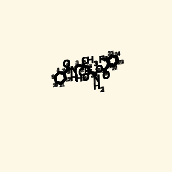 CC(C)(CNC(=O)C1CCCCC1)CC(O)C(N)OC(=O)c1ccccc1F